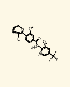 COc1cc(C(=O)Nc2ncc(C(F)(F)F)cc2Cl)ccc1-c1ncccc1Cl